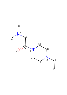 CCN1CCN(C(=O)CN(C)C)CC1